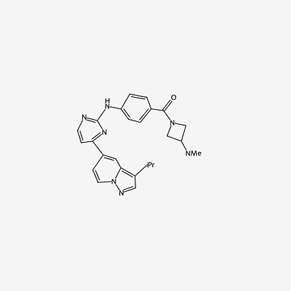 CNC1CN(C(=O)c2ccc(Nc3nccc(-c4ccn5ncc(C(C)C)c5c4)n3)cc2)C1